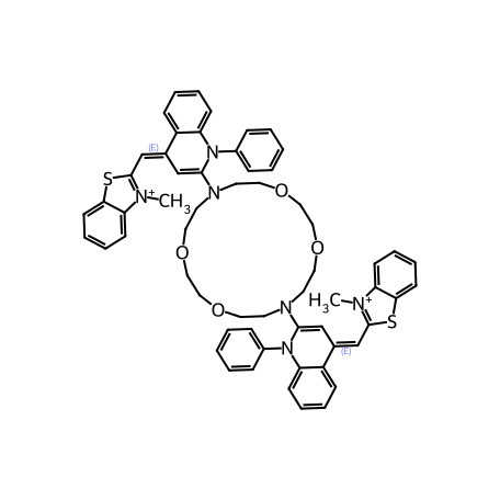 C[n+]1c(/C=C2\C=C(N3CCOCCOCCN(C4=C/C(=C\c5sc6ccccc6[n+]5C)c5ccccc5N4c4ccccc4)CCOCCOCC3)N(c3ccccc3)c3ccccc32)sc2ccccc21